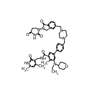 CCN(c1cc(-c2ccc(CN3CCN(Cc4ccc5c(c4)CN(N4CCC(=O)NC4=O)C5=O)CC3)cc2)cc(C(=O)NCc2c(C)cc(C)[nH]c2=O)c1C)C1CCOCC1